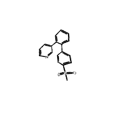 CS(=O)(=O)c1ccc(-c2ccccc2-c2cccnc2)cc1